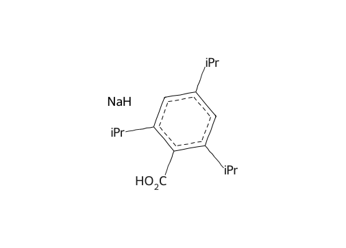 CC(C)c1cc(C(C)C)c(C(=O)O)c(C(C)C)c1.[NaH]